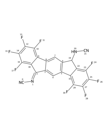 N#C/N=C1/c2cc3c(cc2-c2c(F)c(F)c(F)c(F)c21)C(NC#N)c1c(F)c(F)c(F)c(F)c1-3